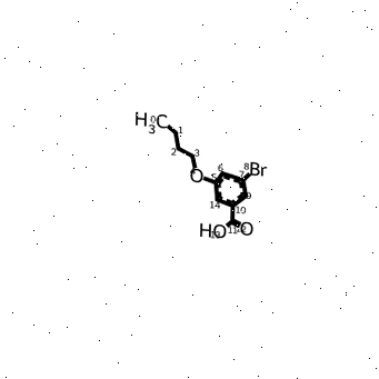 CCCCOc1cc(Br)cc(C(=O)O)c1